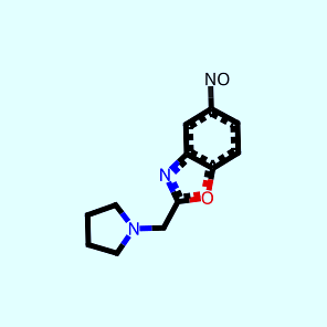 O=Nc1ccc2oc(CN3CCCC3)nc2c1